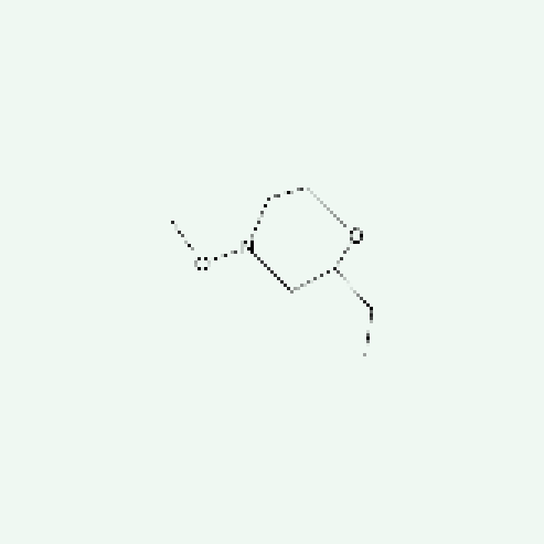 CCC1CN(OC)CCO1